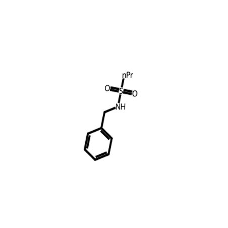 CCCS(=O)(=O)NCc1ccccc1